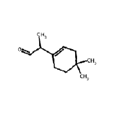 CC(C=O)C1=CCC(C)(C)CC1